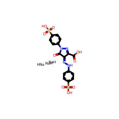 O=C(O)C1=NN(c2ccc(S(=O)(=O)O)cc2)C(=O)/C1=N/Nc1ccc(S(=O)(=O)O)cc1.[NaH].[NaH].[NaH]